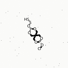 SSOP1OCC2(COP(OCl)OC2)CO1